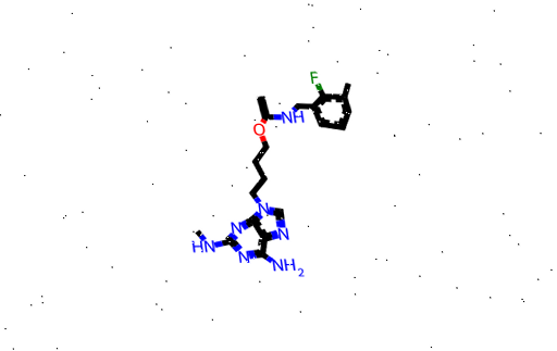 C=C(NCc1cccc(C)c1F)OCCCCn1cnc2c(N)nc(NC)nc21